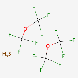 FC(F)(F)OC(F)(F)F.FC(F)(F)OC(F)(F)F.S